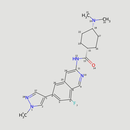 Cn1cc(-c2cc(F)c3cnc(NC(=O)[C@H]4CC[C@@H](N(C)C)CC4)cc3c2)cn1